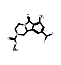 CC(C)(C)OC(=O)N1CCN2C(=O)c3c(cc(C(F)F)cc3C(F)(F)F)C2C1